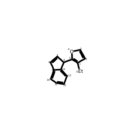 CCc1ccoc1[C]1C=Cc2ccccc21